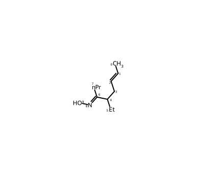 CC=CCC(CC)C(CCC)=NO